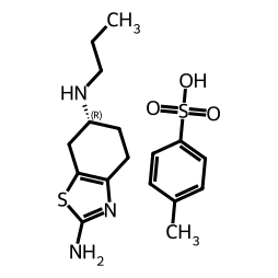 CCCN[C@@H]1CCc2nc(N)sc2C1.Cc1ccc(S(=O)(=O)O)cc1